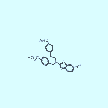 COc1ccc(CCN(Cc2ccc(C(=O)O)cc2)c2nc3ccc(Cl)cc3s2)cc1